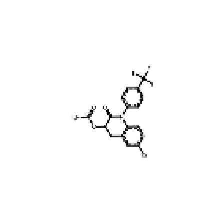 NC(=O)OC1Cc2cc(Br)ccc2N(c2ccc(C(F)(F)F)cc2)C1=O